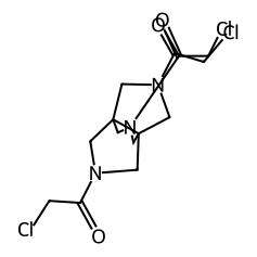 O=C(CCl)N1CC23CN(C(=O)CCl)CC2(C1)CN(C(=O)CCl)C3